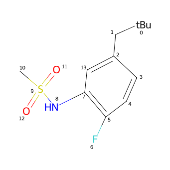 CC(C)(C)Cc1ccc(F)c(NS(C)(=O)=O)c1